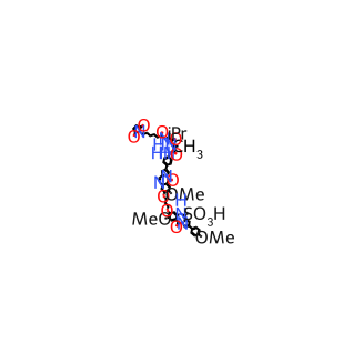 COc1ccc(C2=CN3C(=O)c4cc(OC)c(OCCCOc5cc6c(cc5OC)C(=O)N5C=C(c7ccc(NC(=O)C(C)NC(=O)C(NC(=O)CCCCCN8C(=O)C=CC8=O)C(C)C)cc7)CC5C=N6)cc4NC(S(=O)(=O)O)C3C2)cc1